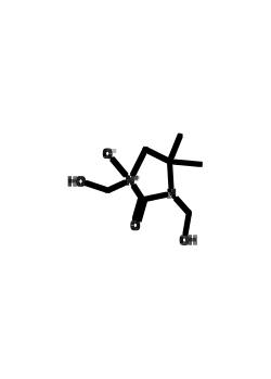 CC1(C)C[N+]([O-])(CO)C(=O)N1CO